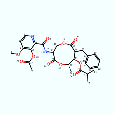 COc1ccnc(C(=O)N[C@H]2COC(=O)C(Cc3ccccc3)[C@@H](OC(=O)C(C)C)[C@H](C)OC2=O)c1OC(C)=O